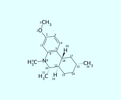 COc1ccc2c(c1)N(C)[C@@H](C)[C@@H]1CC[C@@H](C)C[C@@H]21